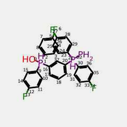 O[PH](c1ccc(F)cc1)(c1ccc(F)cc1)c1cccc([PH](P)(c2ccc(F)cc2)c2ccc(F)cc2)c1